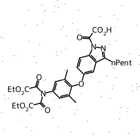 CCCCCc1nn(C(=O)C(=O)O)c2ccc(Oc3c(C)cc(N(C(=O)C(=O)OCC)C(=O)C(=O)OCC)cc3C)cc12